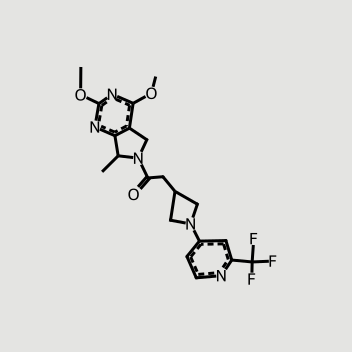 COc1nc(OC)c2c(n1)C(C)N(C(=O)CC1CN(c3ccnc(C(F)(F)F)c3)C1)C2